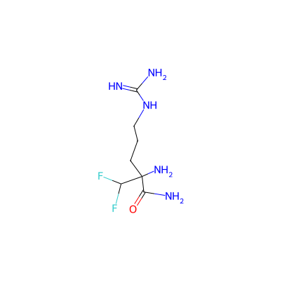 N=C(N)NCCCC(N)(C(N)=O)C(F)F